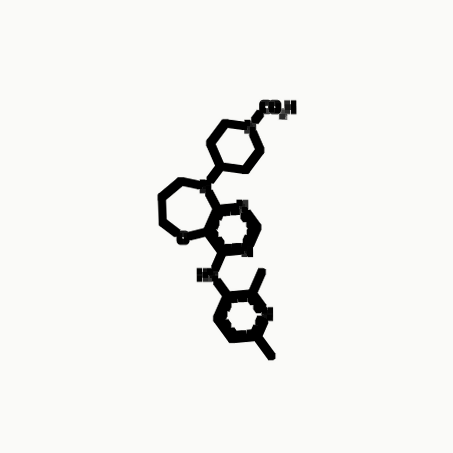 Cc1ccc(Nc2ncnc3c2OCCCN3C2CCN(C(=O)O)CC2)c(C)n1